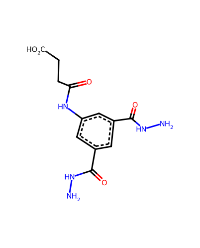 NNC(=O)c1cc(NC(=O)CCC(=O)O)cc(C(=O)NN)c1